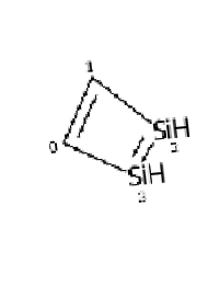 C1=C[SiH]=[SiH]1